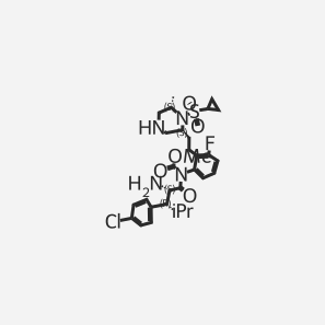 COC(=O)N(C(=O)[C@@H](N)[C@@H](c1ccc(Cl)cc1)C(C)C)c1cccc(F)c1CC[C@H]1CNC[C@H](C)N1S(=O)(=O)C1CC1